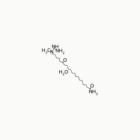 CN(CCCCCC(=O)CCCCCCCCCCCCCC(N)=O)C(=N)N.O